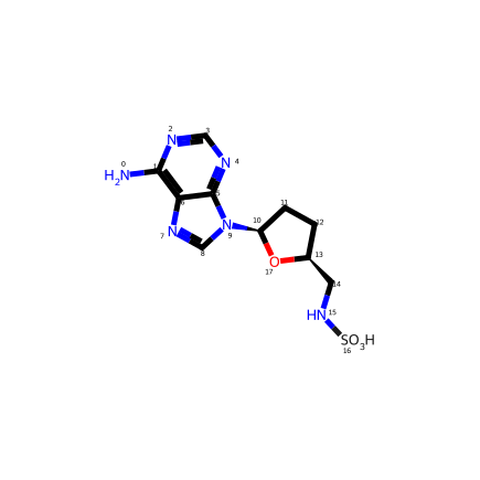 Nc1ncnc2c1ncn2[C@H]1CC[C@@H](CNS(=O)(=O)O)O1